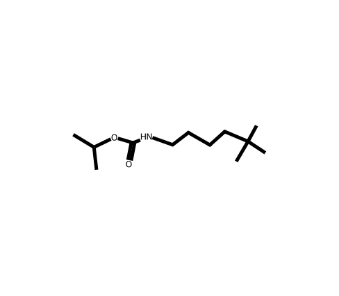 CC(C)OC(=O)NCCCCC(C)(C)C